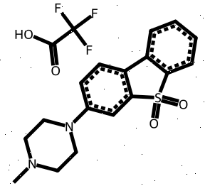 CN1CCN(c2ccc3c(c2)S(=O)(=O)c2ccccc2-3)CC1.O=C(O)C(F)(F)F